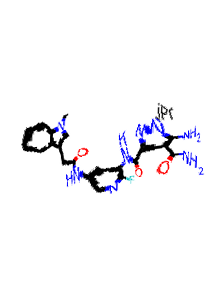 CC(C)n1nc(C(=O)Nc2cc(NC(=O)Cc3cn(C)c4ccccc34)cnc2F)c(C(N)=O)c1N